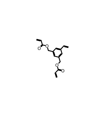 C=CC(=O)OCc1cc(C=C)cc(COC(=O)C=C)c1